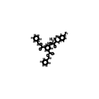 NC(Cc1ccc(F)cc1F)C(=O)Nc1cc(C(=O)OCc2ccccc2)cc(C(=O)OCc2ccccc2)c1